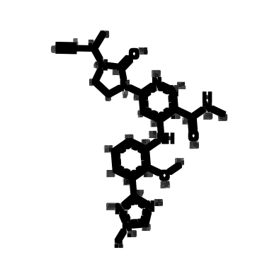 C#CC(C)N1CCN(c2cc(Nc3cccc(-c4ncn(C)n4)c3OC)c(C(=O)NC)nn2)C1=O